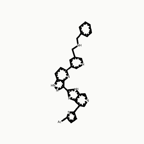 CC(=O)c1ccc(-c2cncc3[nH]c(-c4n[nH]c5ccc(-c6cncc(CNCc7ccccc7)c6)nc45)nc23)s1